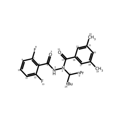 CCCC(N(NC(=O)c1c(F)cccc1F)C(=O)c1cc(C)cc(C)c1)C(C)(C)C